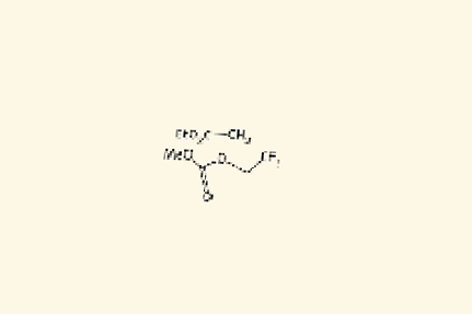 CCOC(C)=O.COC(=O)OCC(F)(F)F